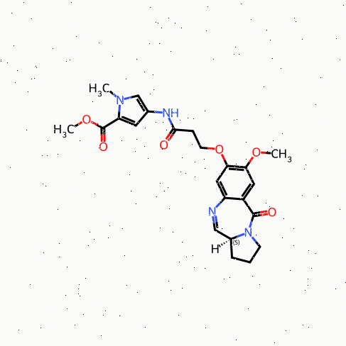 COC(=O)c1cc(NC(=O)CCOc2cc3c(cc2OC)C(=O)N2CCC[C@H]2C=N3)cn1C